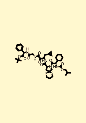 CC(C)COC(=O)N[C@H](C(=O)N1CC2(CC1C(=O)NC(CC1CC1)C(=O)C(=O)NCC(=O)NC(C(=O)OC(C)(C)C)c1ccccc1)SCCCS2)C1CCCCC1